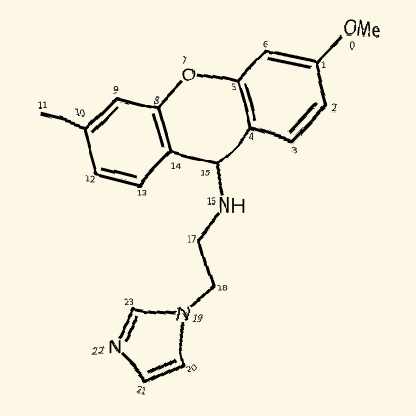 COc1ccc2c(c1)Oc1cc(C)ccc1C2NCCn1ccnc1